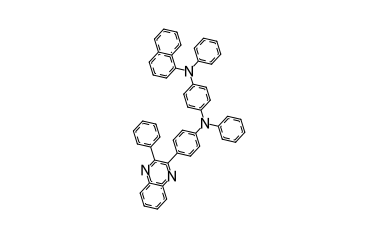 c1ccc(-c2nc3ccccc3nc2-c2ccc(N(c3ccccc3)c3ccc(N(c4ccccc4)c4cccc5ccccc45)cc3)cc2)cc1